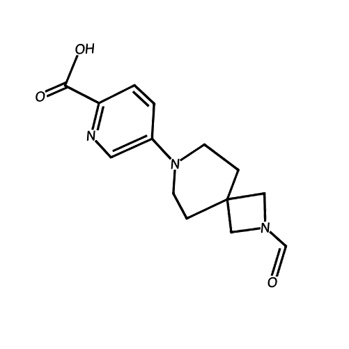 O=CN1CC2(CCN(c3ccc(C(=O)O)nc3)CC2)C1